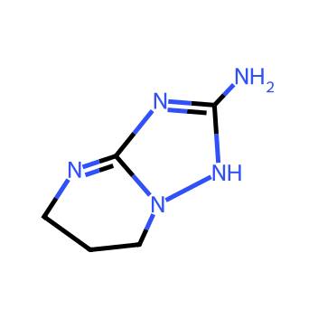 NC1=NC2=NCCCN2N1